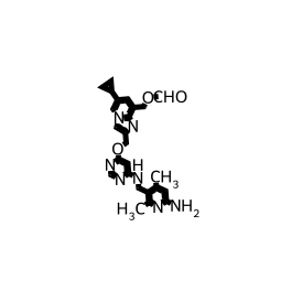 Cc1cc(N)nc(C)c1CNc1cc(OCc2cn3cc(C4CC4)cc(COC=O)c3n2)ncn1